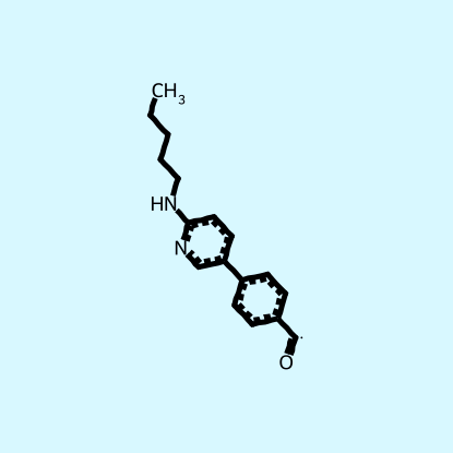 CCCCCNc1ccc(-c2ccc([C]=O)cc2)cn1